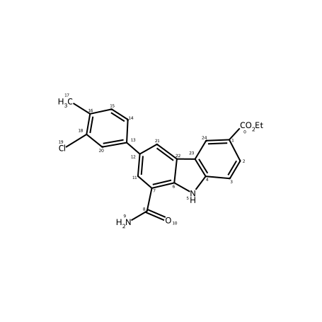 CCOC(=O)c1ccc2[nH]c3c(C(N)=O)cc(-c4ccc(C)c(Cl)c4)cc3c2c1